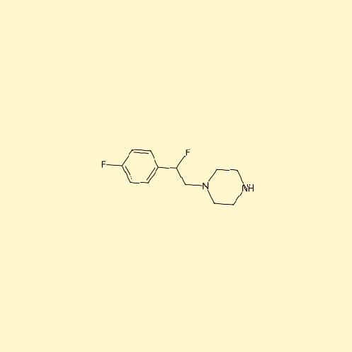 Fc1ccc(C(F)CN2CCNCC2)cc1